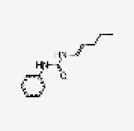 CCCC=CNC(=O)Nc1ccccc1